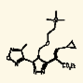 CCOC(=O)C(=CC1CC1)c1nnc(-c2nonc2C)n1COCC[Si](C)(C)C